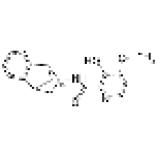 COc1ccnc(C(=O)N[C@@H]2CC3CC2c2ccccc23)c1O